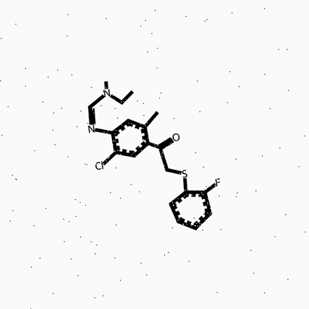 CCN(C)/C=N\c1cc(C)c(C(=O)CSc2ccccc2F)cc1Cl